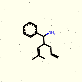 C=CCC(C=C(C)C)C(N)c1ccccc1